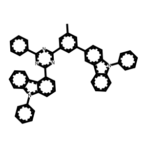 Cc1cc(-c2ccc3c(c2)c2ccccc2n3-c2ccccc2)cc(-c2nc(-c3ccccc3)nc(-c3cccc4c3c3ccccc3n4-c3ccccc3)n2)c1